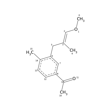 CO/C=C(\C)Cc1cc(C(C)=O)ccc1C